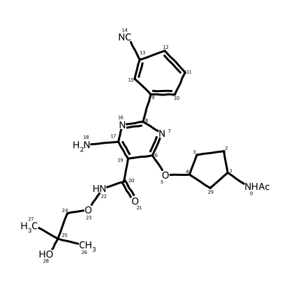 CC(=O)NC1CCC(Oc2nc(-c3cccc(C#N)c3)nc(N)c2C(=O)NOCC(C)(C)O)C1